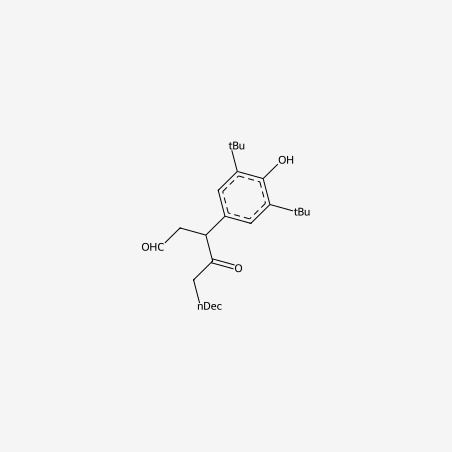 CCCCCCCCCCCC(=O)C(CC=O)c1cc(C(C)(C)C)c(O)c(C(C)(C)C)c1